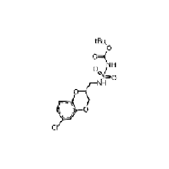 CC(C)(C)OC(=O)NS(=O)(=O)NC[C@H]1COc2cc(Cl)ccc2O1